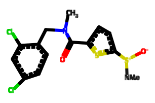 CN[S+]([O-])c1ccc(C(=O)N(C)Cc2ccc(Cl)cc2Cl)s1